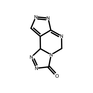 O=C1N=NC2C3=CN=NC3=NCN12